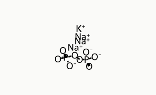 O=P([O-])([O-])OOP(=O)([O-])[O-].[K+].[Na+].[Na+].[Na+]